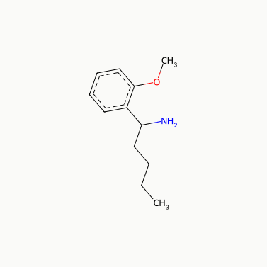 CCCCC(N)c1ccccc1OC